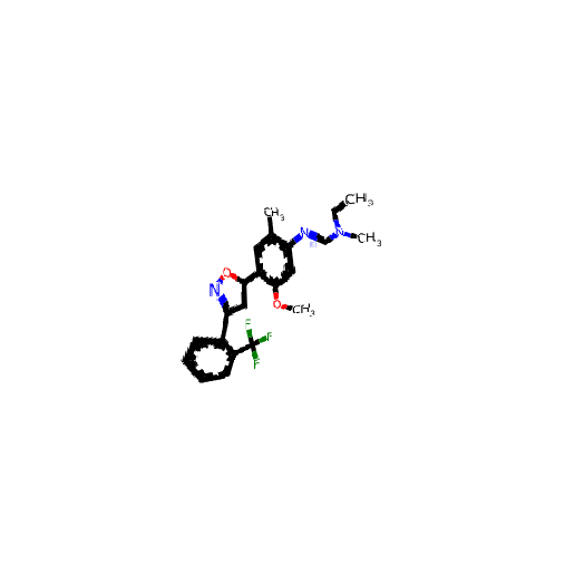 CCN(C)/C=N/c1cc(OC)c(C2CC(c3ccccc3C(F)(F)F)=NO2)cc1C